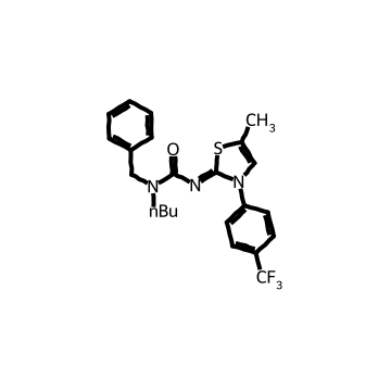 CCCCN(Cc1ccccc1)C(=O)N=c1sc(C)cn1-c1ccc(C(F)(F)F)cc1